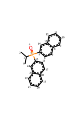 CC(C)P(=O)(c1ccc2ccccc2c1)c1ccc2ccccc2c1